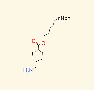 CCCCCCCCCCCCCCOC(=O)[C@H]1CC[C@H](CN)CC1